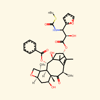 CCCCSC(=O)NC(c1ccco1)[C@@H](O)C(=O)O[C@H]1C[C@@]2(O)[C@@H](OC(=O)c3ccccc3)[C@@H]3[C@]4(OC(C)=O)CO[C@@H]4C[C@H](O)[C@@]3(C)C(=O)[C@H](OC(C)=O)C(=C1C)C2(C)C